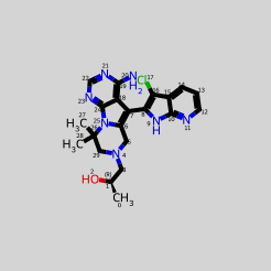 C[C@@H](O)CN1Cc2c(-c3[nH]c4ncccc4c3Cl)c3c(N)ncnc3n2C(C)(C)C1